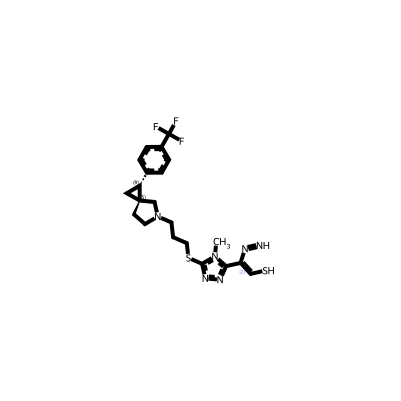 Cn1c(SCCCN2CC[C@]3(C[C@@H]3c3ccc(C(F)(F)F)cc3)C2)nnc1/C(=C/S)N=N